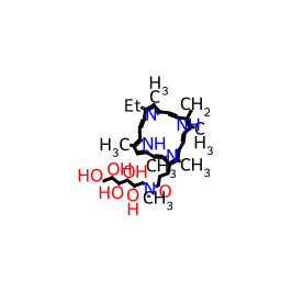 C=Cc1c(C)c2cc3nc(c(C)c4cc(C)c(cc5nc(cc1[nH]2)C(C)=C5CC)[nH]4)C(CCC(=O)N(C)C[C@H](O)[C@@H](O)[C@H](O)[C@H](O)CO)=C3C